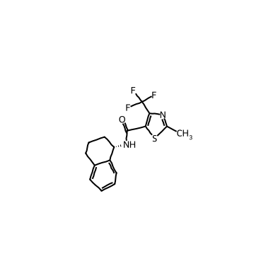 Cc1nc(C(F)(F)F)c(C(=O)N[C@H]2CCCc3ccccc32)s1